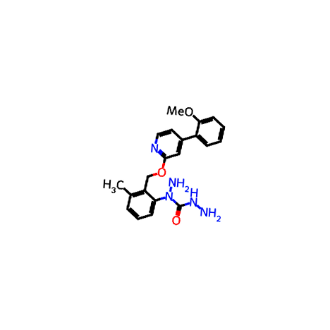 COc1ccccc1-c1ccnc(OCc2c(C)cccc2N(N)C(=O)NN)c1